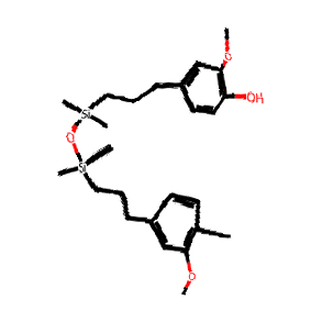 COc1cc(CCC[Si](C)(C)O[Si](C)(C)CCCc2ccc(O)c(OC)c2)ccc1C